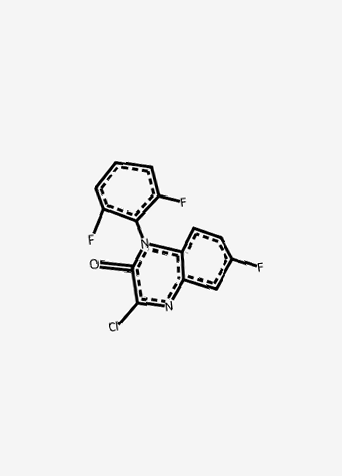 O=c1c(Cl)nc2cc(F)ccc2n1-c1c(F)cccc1F